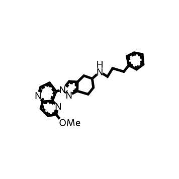 COc1ccc2nccc(-n3cc4c(n3)CCC(NCCCc3ccccc3)C4)c2n1